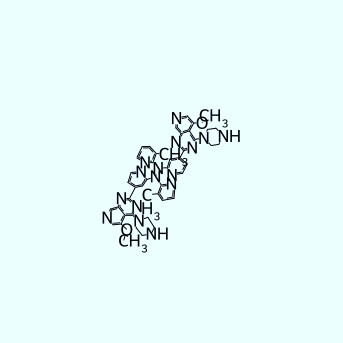 COc1cncc2nc(-c3ccnc(N(c4ncccc4C)N(c4cc(-c5nc(N6CCNCC6)c6c(OC)cncc6n5)ccn4)c4ncccc4C)c3)nc(N3CCNCC3)c12